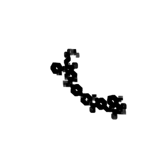 COCCn1c(=O)c2cnc(Nc3ccc(N4CCN(C(=O)c5cc(Cn6c(=O)[nH]c(=O)c7c(F)cccc76)ccc5F)CC4)cc3)nc2n1-c1ccccn1